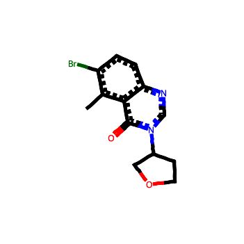 Cc1c(Br)ccc2ncn(C3CCOC3)c(=O)c12